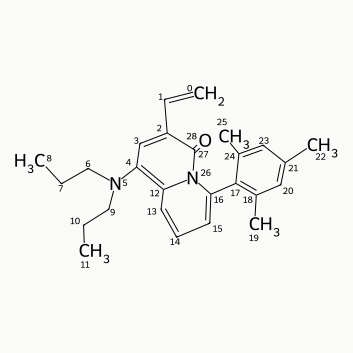 C=Cc1cc(N(CCC)CCC)c2cccc(-c3c(C)cc(C)cc3C)n2c1=O